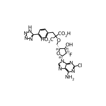 Nc1nc(Cl)nc2c1ncn2[C@@H]1O[C@H](COC(Cc2ccc(-c3nnn[nH]3)cc2)(C(=O)O)C(=O)O)[C@@H](O)[C@@H]1F